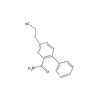 N#C[CH]Cc1ccc(-c2ccccc2)c(C(N)=O)c1